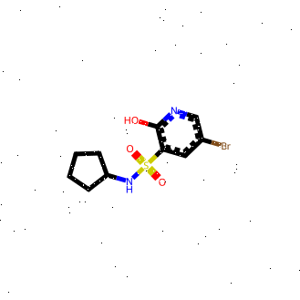 O=S(=O)(NC1CCCC1)c1cc(Br)cnc1O